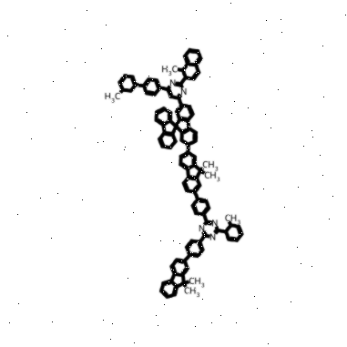 CC1C=CC=C(c2ccc(-c3cc(-c4ccc5c(c4)C4(C6=C(C=CCC6)c6ccccc64)C4=C5C=CC(c5ccc6c(c5)C(C)(C)c5cc(-c7ccc(-c8nc(-c9ccc(-c%10ccc%11c(c%10)C(C)(C)c%10ccccc%10-%11)cc9)nc(C9C=CC=CC9C)n8)cc7)ccc5-6)C4)nc(C4C=Cc5ccccc5C4C)n3)cc2)C1